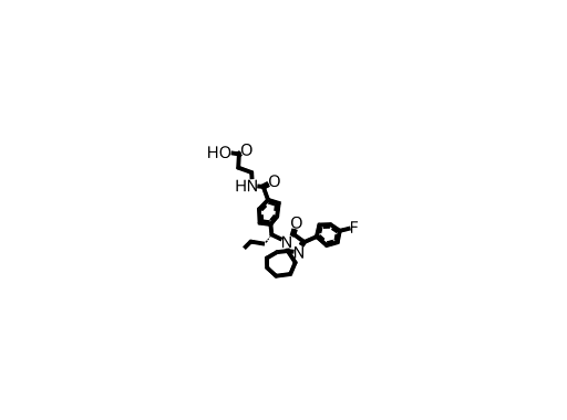 CCC[C@H](c1ccc(C(=O)NCCC(=O)O)cc1)N1C(=O)C(c2ccc(F)cc2)=NC12CCCCCC2